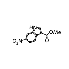 COC(=O)c1c[nH]c2cc([N+](=O)[O-])ccc12